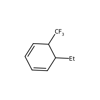 CCC1C=CC=CC1C(F)(F)F